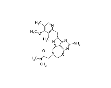 COc1c(C)cnc(Cn2nc3c4c(nc(N)nc42)SCC(CC(=O)N(C)C)=C3)c1C